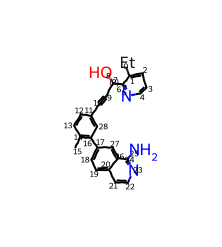 CCc1cccnc1[C@H](O)C#Cc1ccc(C)c(-c2ccc3ccnc(N)c3c2)c1